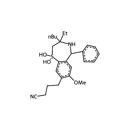 CCCCC1(CC)CS(O)(O)c2cc(CCCC#N)c(OC)cc2C(c2ccccc2)N1